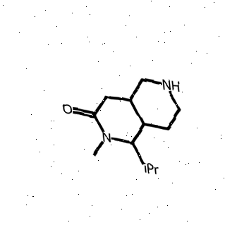 CC(C)C1C2CCNCC2CC(=O)N1C